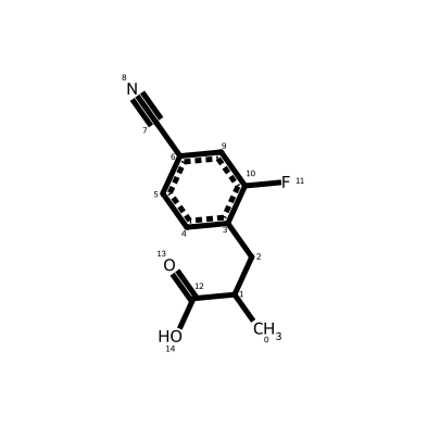 CC(Cc1ccc(C#N)cc1F)C(=O)O